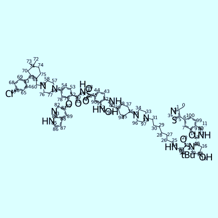 Cc1ncsc1-c1ccc([C@H](C)NC(=O)[C@@H]2C[C@@H](O)CN2C(=O)[C@@H](NCCCCCCCN2CCN(C3CCC(CNc4ccc(S(=O)(=O)NC(=O)c5ccc(N6CCN(CC7=C(c8ccc(Cl)cc8)CC(C)(C)CC7)CC6)cc5Oc5cnc6[nH]ccc6c5)cc4NO)CC3)CC2)C(C)(C)C)cc1